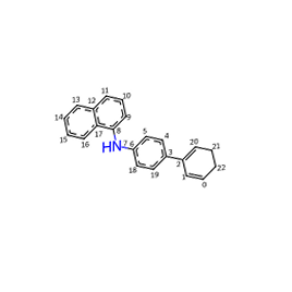 C1=CC(c2ccc(Nc3cccc4ccccc34)cc2)=CCC1